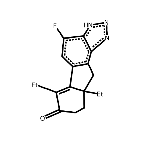 CCC1=C2c3cc(F)c4[nH]nnc4c3CC2(CC)CCC1=O